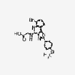 COc1ccc(-c2nc3c4cccc(Br)c4nc(NCC(=O)O)n3n2)cc1